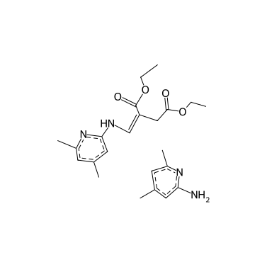 CCOC(=O)C/C(=C/Nc1cc(C)cc(C)n1)C(=O)OCC.Cc1cc(C)nc(N)c1